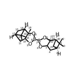 CC1(C)[C@H]2CC3OB(B4OC5C[C@@H]6C[C@@H](C6(C)C)[C@]5(C)O4)O[C@@]3(C)[C@@H]1C2